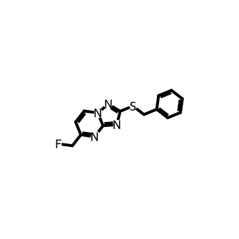 FCc1ccn2nc(SCc3ccccc3)nc2n1